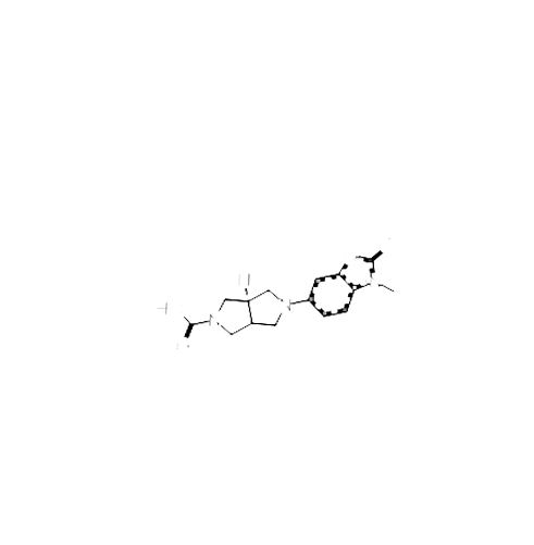 Cn1c(=O)oc2cc(N3CC4CN(C(=O)O)C[C@@H]4C3)ccc21